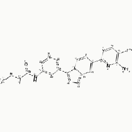 Nc1nc(-c2ccn3c(-c4cncc(NC(=O)NCC(F)(F)F)c4)cnc3c2)ncc1F